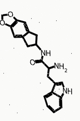 NC(Cc1c[nH]c2ccccc12)C(=O)NC1Cc2cc3c(cc2C1)OCO3